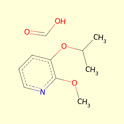 COc1ncccc1OC(C)C.O=CO